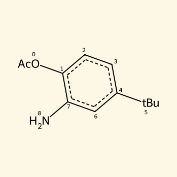 CC(=O)Oc1ccc(C(C)(C)C)cc1N